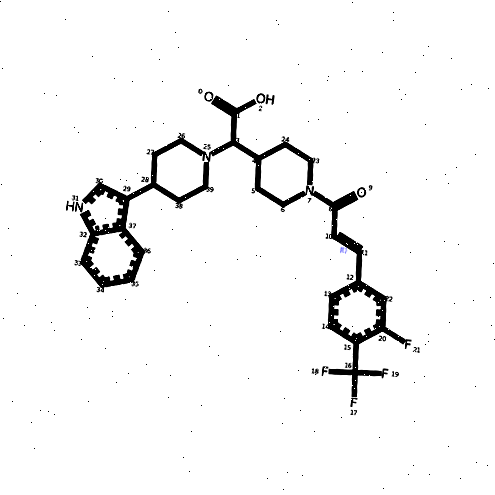 O=C(O)C(C1CCN(C(=O)/C=C/c2ccc(C(F)(F)F)c(F)c2)CC1)N1CCC(c2c[nH]c3ccccc23)CC1